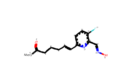 COC(=O)CCC/C=C/c1ccc(F)c(C=NO)n1